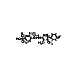 Cc1c(NC[C@@H](C)Nc2cnc(C(C)(C)O)cn2)nnc(-c2ccc(F)cc2)c1C